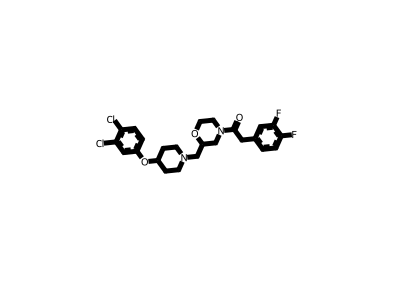 O=C(Cc1ccc(F)c(F)c1)N1CCOC(CN2CCC(Oc3ccc(Cl)c(Cl)c3)CC2)C1